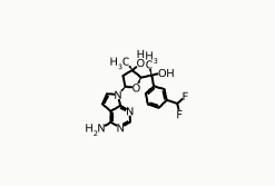 C[C@]1(O)C[C@H](n2ccc3c(N)ncnc32)O[C@@H]1[C@](C)(O)c1cccc(C(F)F)c1